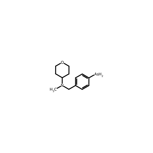 CN(Cc1ccc([AsH2])cc1)C1CCOCC1